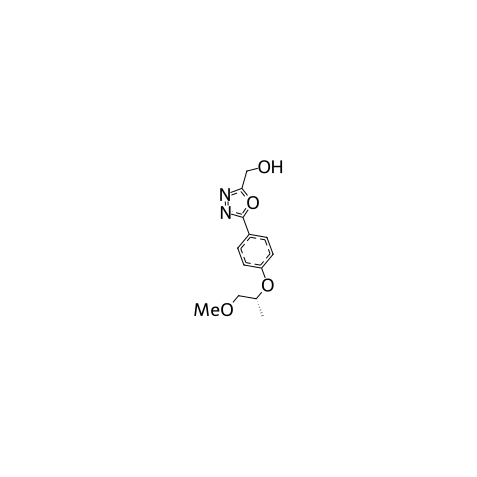 COC[C@@H](C)Oc1ccc(-c2nnc(CO)o2)cc1